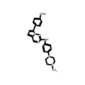 COc1ccc(-c2ccc3cnc(Nc4ccc(N5CCN(C)CC5)cc4)nn23)cc1